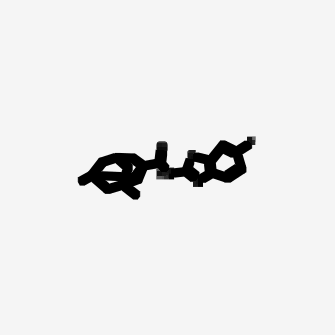 CC12CC3CC(C)(C1)CC(C(=O)Nc1nc4ccc(F)cc4s1)(C3)C2